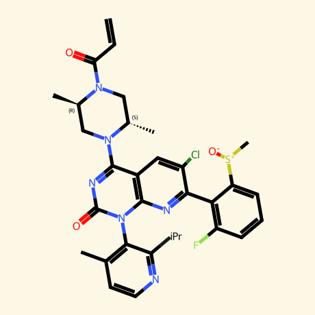 C=CC(=O)N1C[C@H](C)N(c2nc(=O)n(-c3c(C)ccnc3C(C)C)c3nc(-c4c(F)cccc4[S+](C)[O-])c(Cl)cc23)C[C@H]1C